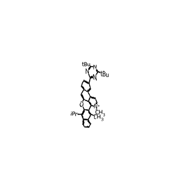 Cc1c2c(c(C(C)C)c3ccccc13)Oc1cc3ccc(-c4nc(C(C)(C)C)nc(C(C)(C)C)n4)cc3c3cc[n+](C)c-2c13